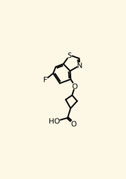 O=C(O)C1CC(Oc2cc(F)cc3scnc23)C1